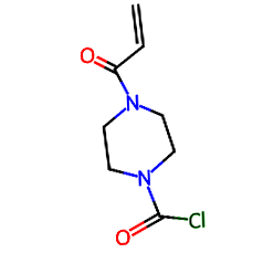 C=CC(=O)N1CCN(C(=O)Cl)CC1